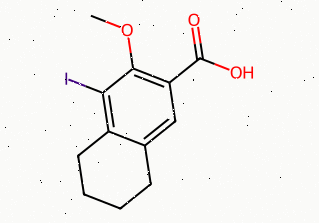 COc1c(C(=O)O)cc2c(c1I)CCCC2